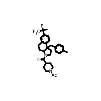 CC(=O)N1CCC(C(=O)N2CCC3(Cc4ccc(C)cc4)c4ccc(C(C)(F)C(F)(F)F)cc4CCC23)CC1